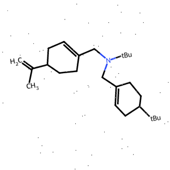 C=C(C)C1CC=C(CN(CC2=CCC(C(C)(C)C)CC2)C(C)(C)C)CC1